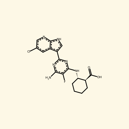 Nc1nc(-c2c[nH]c3ncc(Cl)cc23)nc(N[C@H]2CCCC[C@@H]2C(=O)O)c1F